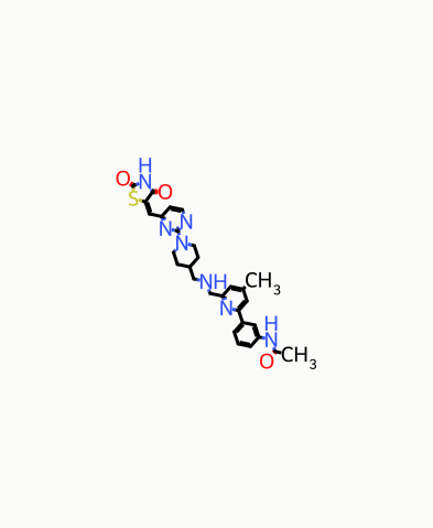 CC(=O)Nc1cccc(-c2cc(C)cc(CNCC3CCN(c4nccc(C=C5SC(=O)NC5=O)n4)CC3)n2)c1